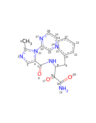 Cc1ncc(C(=O)NC(Cc2ccccc2)C(=O)C(N)=O)n1-c1cnccn1